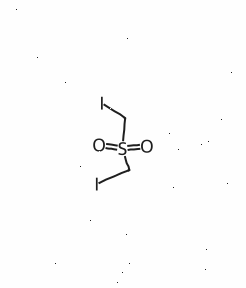 O=S(=O)(CI)CI